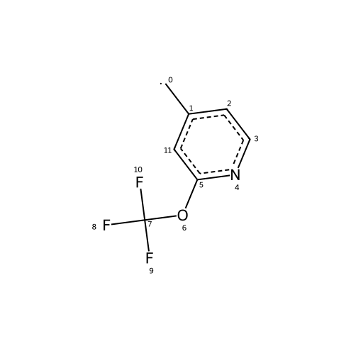 [CH2]c1ccnc(OC(F)(F)F)c1